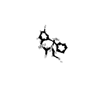 CCCCC1(c2ccccc2)c2cc(F)ccc2NC(=O)N1CCF